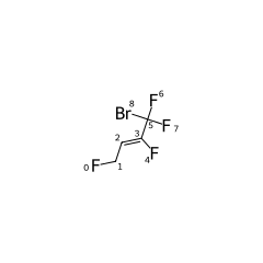 FCC=C(F)C(F)(F)Br